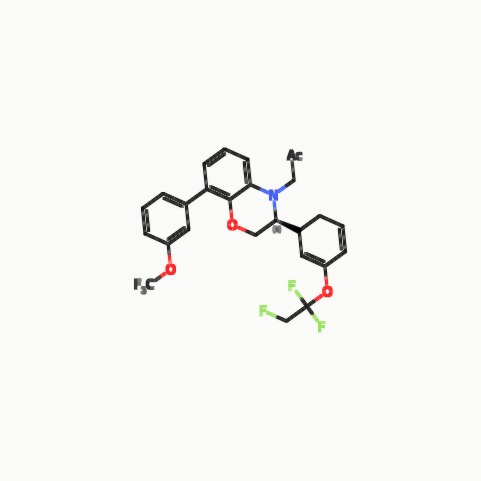 CC(=O)CN1c2cccc(-c3cccc(OC(F)(F)F)c3)c2OC[C@@H]1C1C=C(OC(F)(F)CF)C=CC1